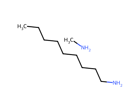 CCCCCCCCCN.CN